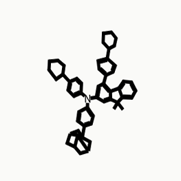 CC1(C)c2ccccc2-c2c(-c3ccc(C4CCCCC4)cc3)cc(N(c3ccc(C4CCCCC4)cc3)c3ccc(C45CC6CC(CC(C6)C4)C5)cc3)cc21